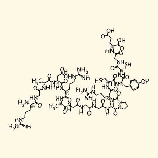 C[C@H](NC(=O)CNC(=O)[C@@H](N)CCCNC(=N)N)C(=O)N[C@@H](CC(=O)O)C(=O)N[C@@H](CCCNC(=N)N)C(=O)N[C@@H](C)C(=O)NCC(=O)NCC(=O)NCC(=O)NCC(=O)N1CCC[C@H]1C(=O)N[C@@H](CCCNC(=N)N)C(=O)N[C@@H](CS)C(=O)N[C@@H](Cc1ccc(O)cc1)C(=O)N[C@@H](CS)C(=O)NCC(=O)N[C@@H](CCC(=O)O)C(=O)O